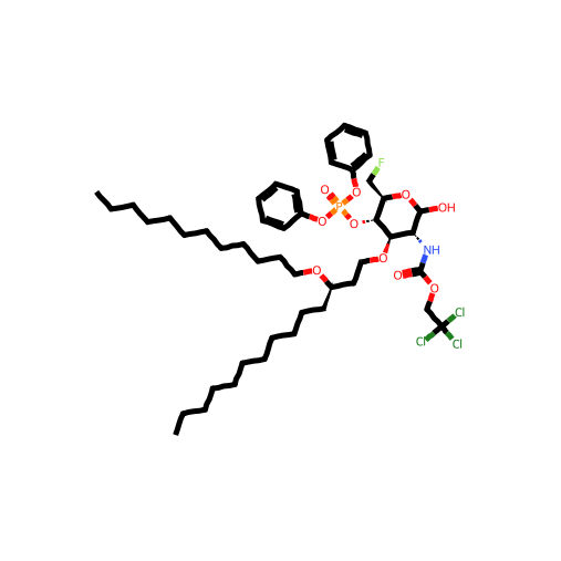 CCCCCCCCCCCCO[C@H](CCCCCCCCCCC)CCO[C@H]1[C@H](OP(=O)(Oc2ccccc2)Oc2ccccc2)[C@@H](CF)OC(O)[C@@H]1NC(=O)OCC(Cl)(Cl)Cl